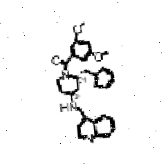 COc1cc(OC)cc(C(=O)N2CC[C@H](NCc3ccnc4ccccc34)C[C@H]2Cc2ccccc2)c1